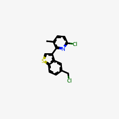 Cc1ccc(Cl)nc1-c1csc2ccc(CCl)cc12